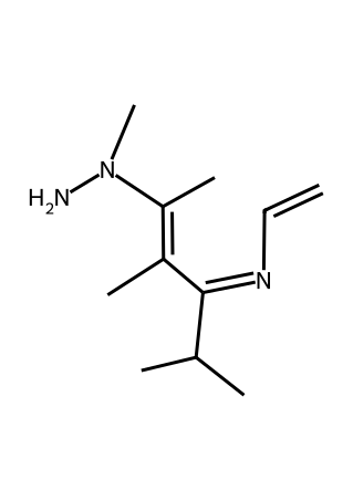 C=C/N=C(\C(C)=C(/C)N(C)N)C(C)C